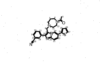 CC(=O)N1CCCN(Cc2c(-c3cccc(C#N)c3)nc3ccc(-c4cccs4)cn23)CC1